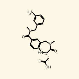 CN(Cc1cccc(N)n1)C(=O)c1ccc2c(c1)CN(C)C(=O)[C@H](CC(=O)O)N2